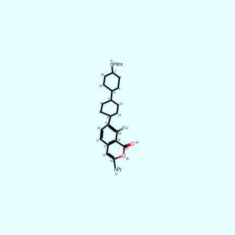 CCCCCCC1CCC(C2CCC(c3ccc4cc(CCC)oc(=O)c4c3F)CC2)CC1